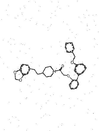 O=C(COc1ccccc1-c1cccc(OCc2ccccc2)c1)N1CCC(CCc2ccc3c(c2)OCO3)CC1